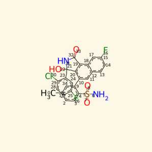 Cc1ccc(S(N)(=O)=O)c(-c2cc3ccc(F)cc3c3c2C(O)(c2cc(F)ccc2Cl)NC3=O)c1